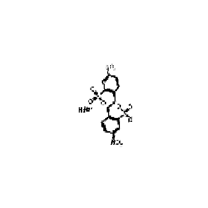 O=[N+]([O-])c1ccc(CCc2ccc([N+](=O)[O-])cc2S(=O)(=O)[O-])c(S(=O)(=O)[O-])c1.[Na+].[Na+]